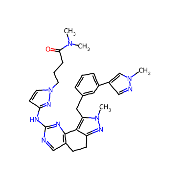 CN(C)C(=O)CCCn1ccc(Nc2ncc3c(n2)-c2c(nn(C)c2Cc2cccc(-c4cnn(C)c4)c2)CC3)n1